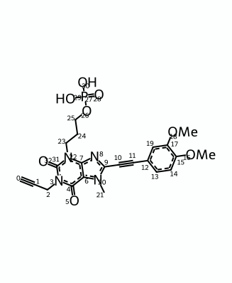 C#CCn1c(=O)c2c(nc(C#Cc3ccc(OC)c(OC)c3)n2C)n(CCCOP(=O)(O)O)c1=O